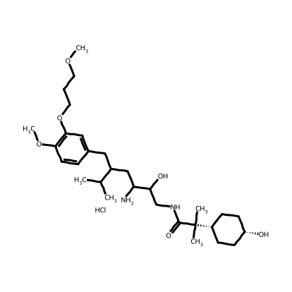 COCCCOc1cc(CC(CC(N)C(O)CNC(=O)C(C)(C)[C@H]2CC[C@@H](O)CC2)C(C)C)ccc1OC.Cl